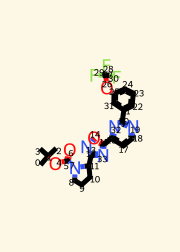 CC(C)(C)OC(=O)N1CCCC1c1noc(-c2ccnc(-c3cccc(OC(F)(F)F)c3)n2)n1